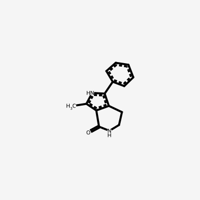 Cc1[nH]c(-c2ccccc2)c2c1C(=O)NCC2